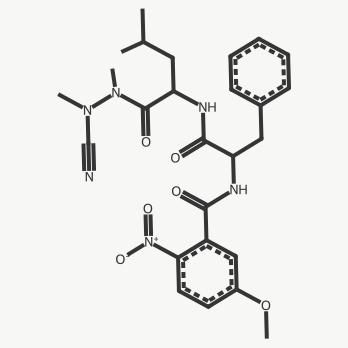 COc1ccc([N+](=O)[O-])c(C(=O)NC(Cc2ccccc2)C(=O)NC(CC(C)C)C(=O)N(C)N(C)C#N)c1